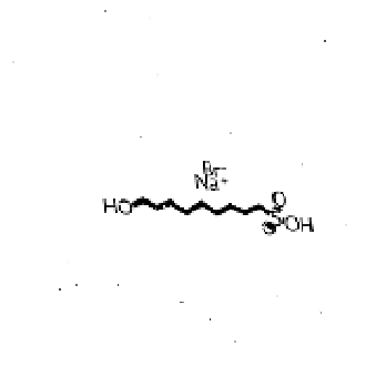 O=S(=O)(O)CCCCCCCCCO.[Br-].[Na+]